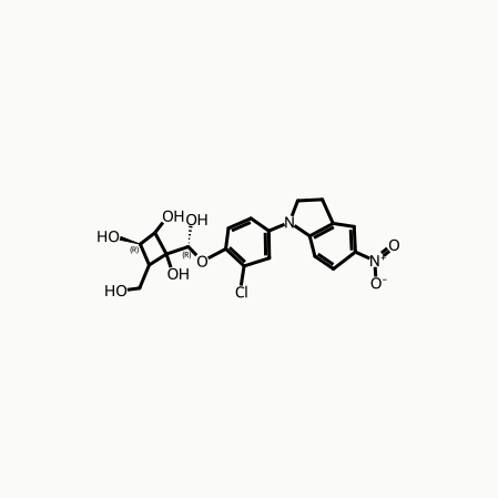 O=[N+]([O-])c1ccc2c(c1)CCN2c1ccc(O[C@@H](O)C2(O)C(O)[C@H](O)C2CO)c(Cl)c1